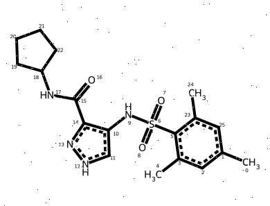 Cc1cc(C)c(S(=O)(=O)Nc2c[nH]nc2C(=O)NC2CCCC2)c(C)c1